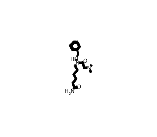 CN(C)CC(=O)N(CCCCCC(N)=O)NCc1ccccc1